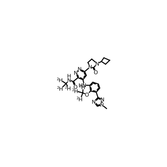 [2H]C([2H])([2H])NC(=O)c1nnc(N2CCN(C3CCC3)C2=O)cc1Nc1cccc(-c2ncn(C)n2)c1OC([2H])([2H])[2H]